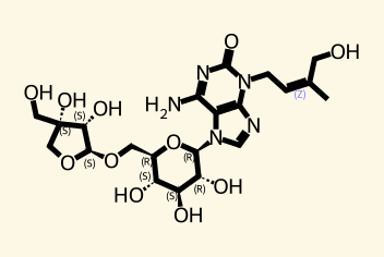 C/C(=C/Cn1c(=O)nc(N)c2c1ncn2[C@@H]1O[C@H](CO[C@H]2OC[C@@](O)(CO)[C@@H]2O)[C@@H](O)[C@H](O)[C@H]1O)CO